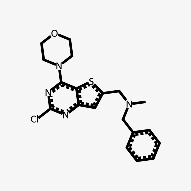 CN(Cc1ccccc1)Cc1cc2nc(Cl)nc(N3CCOCC3)c2s1